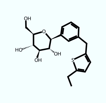 CCc1ccc(Cc2cccc([C@@H]3O[C@H](CO)[C@@H](O)[C@H](O)[C@H]3O)c2)s1